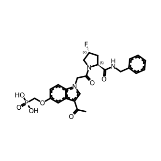 CC(=O)c1cn(CC(=O)N2C[C@H](F)C[C@H]2C(=O)NCc2ccccc2)c2ccc(OCP(=O)(O)O)cc12